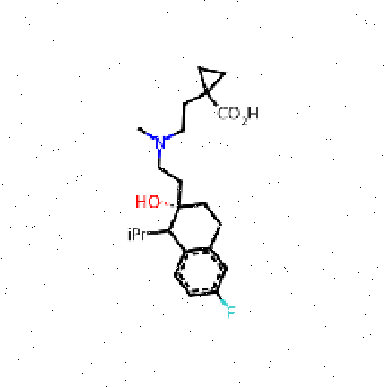 CC(C)C1c2ccc(F)cc2CC[C@]1(O)CCN(C)CCC1(C(=O)O)CC1